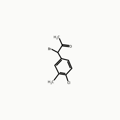 CC(=O)C(Br)c1ccc(Cl)c(C)c1